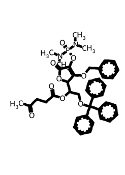 CC(=O)CCC(=O)OC(COC(c1ccccc1)(c1ccccc1)c1ccccc1)C1OC(=O)C(OP(=O)(N(C)C)N(C)C)=C1OCc1ccccc1